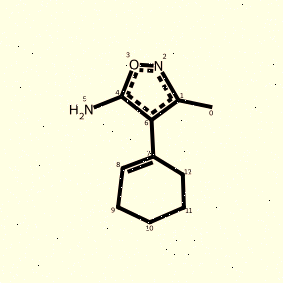 Cc1noc(N)c1C1=CCCCC1